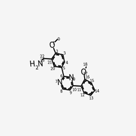 COc1ccc(-c2nccc(-c3ccccc3OC)n2)cc1CN